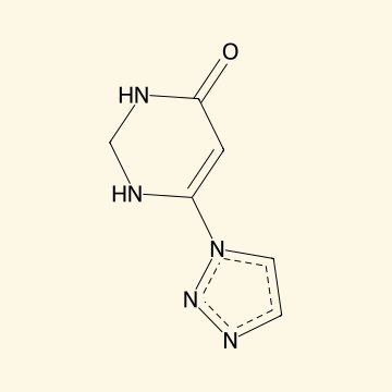 O=C1C=C(n2ccnn2)NCN1